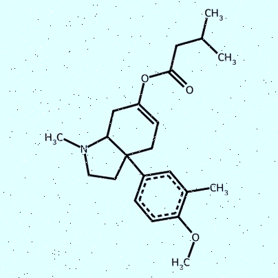 COc1ccc(C23CC=C(OC(=O)CC(C)C)CC2N(C)CC3)cc1C